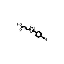 N#Cc1ccc(-c2nc(/C=C/C(=O)O)no2)cc1